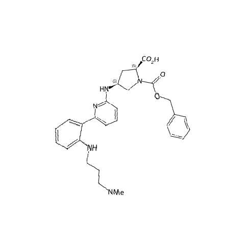 CNCCCNc1ccccc1-c1cccc(N[C@H]2C[C@@H](C(=O)O)N(C(=O)OCc3ccccc3)C2)n1